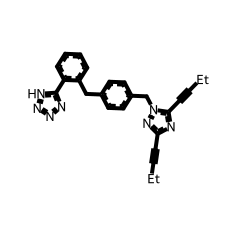 CCC#Cc1nc(C#CCC)n(Cc2ccc(Cc3ccccc3-c3nnn[nH]3)cc2)n1